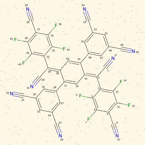 N#C/C(c1c(F)c(F)c(C#N)c(F)c1F)=c1/cc(-c2cc(C#N)cc(C#N)c2)/c(=C(\C#N)c2c(F)c(F)c(C#N)c(F)c2F)cc1-c1cc(C#N)cc(C#N)c1